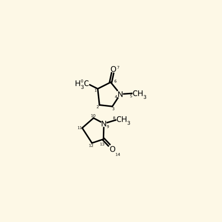 CC1CCN(C)C1=O.CN1CCCC1=O